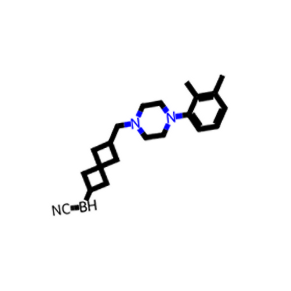 Cc1cccc(N2CCN(CC3CC4(CC(BC#N)C4)C3)CC2)c1C